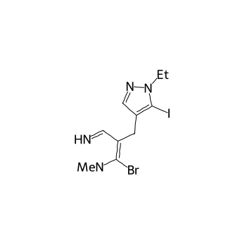 CCn1ncc(C/C(C=N)=C(\Br)NC)c1I